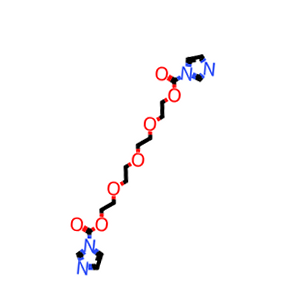 O=C(OCCOCCOCCOCCOC(=O)n1ccnc1)n1ccnc1